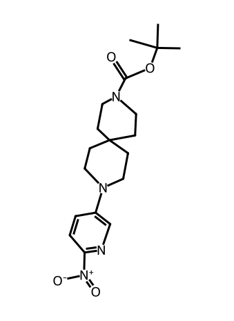 CC(C)(C)OC(=O)N1CCC2(CC1)CCN(c1ccc([N+](=O)[O-])nc1)CC2